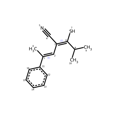 C/C(=C\C(C#N)=C(\S)C(C)C)c1ccccc1